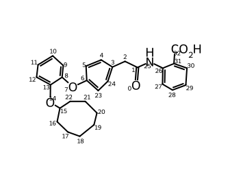 O=C(Cc1ccc(Oc2ccccc2OC2CCCCCCC2)cc1)Nc1ccccc1C(=O)O